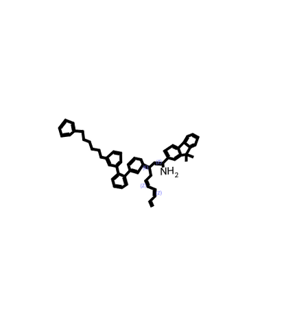 C=C/C=C\C=C/CC(/C=C(\N)c1ccc2c(c1)C(C)(C)c1ccccc1-2)=C1\C=C(c2ccccc2-c2cccc(CCCCCCc3ccccc3)c2)C=CC1